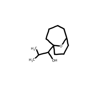 CC(C)C(O)C12CCCCC(CCC1)O2